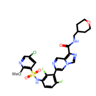 COc1ncc(Cl)cc1S(=O)(=O)Nc1ccc(F)c(-c2cn3cnc(C(=O)NCC4CCOCC4)c3cn2)c1F